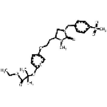 CCOC(=O)C(C)(C)Oc1ccc(OCCC2CN(Cc3ccc(S(C)(=O)=O)cc3)C(=O)N2C)cc1